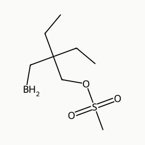 BCC(CC)(CC)COS(C)(=O)=O